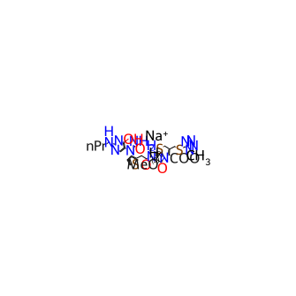 CCCNc1ncc(N(C(N)=O)c2ccsc2CC(=O)N[C@]2(OC)C(=O)N3C(C(=O)[O-])=C(CSc4nnnn4C)CS[C@@H]32)c(O)n1.[Na+]